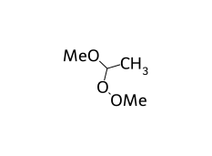 COOC(C)OC